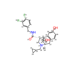 O=C(NCc1ccc(F)c(F)c1)[C@@H]1C[C@]23CCN(CC4CC4)[C@H](Cc4ccc(O)cc42)[C@]3(O)C1